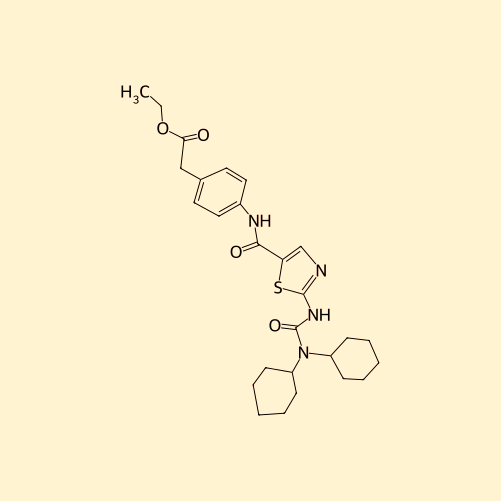 CCOC(=O)Cc1ccc(NC(=O)c2cnc(NC(=O)N(C3CCCCC3)C3CCCCC3)s2)cc1